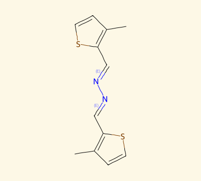 Cc1ccsc1/C=N/N=C/c1sccc1C